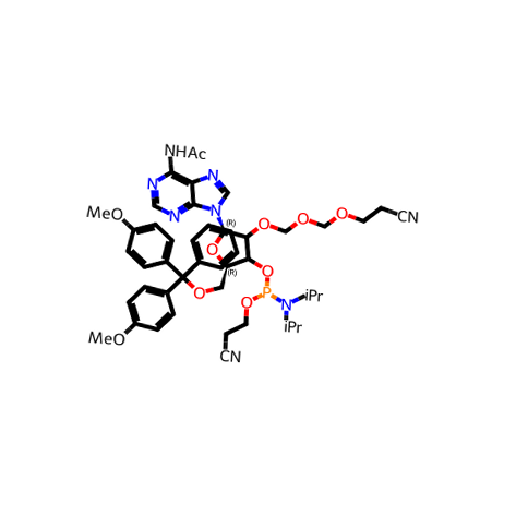 COc1ccc(C(OC[C@H]2O[C@@H](n3cnc4c(NC(C)=O)ncnc43)C(OCOCOCCC#N)C2OP(OCCC#N)N(C(C)C)C(C)C)(c2ccccc2)c2ccc(OC)cc2)cc1